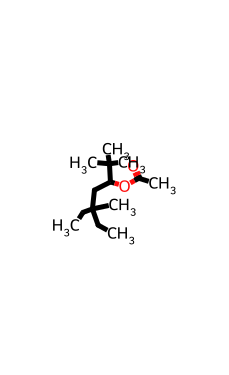 CCC(C)(CC)CC(OC(C)=O)C(C)(C)C